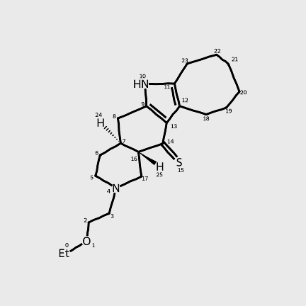 CCOCCN1CC[C@H]2Cc3[nH]c4c(c3C(=S)[C@@H]2C1)CCCCCC4